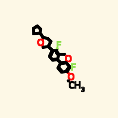 CCOc1ccc2c(c1F)OCc1c-2ccc(C2CCC(C3CCCC3)OC2)c1F